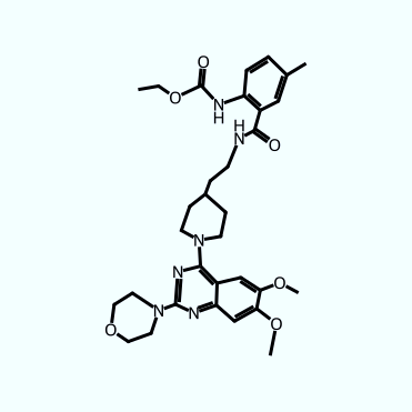 CCOC(=O)Nc1ccc(C)cc1C(=O)NCCC1CCN(c2nc(N3CCOCC3)nc3cc(OC)c(OC)cc23)CC1